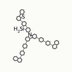 c1ccc2c(-c3ccc(-c4ccc(-c5ccc6c(c5)c5cc(-c7ccc(-c8ccc(-c9cccc%10ccccc9%10)cc8)cc7)ccc5n6-c5ccc6c(c5)[SiH2]c5cc(-c7cccc8c7sc7ccccc78)ccc5-6)cc4)cc3)cccc2c1